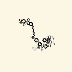 COc1cc(N2CCC(NCCCCCCCc3ccc4c(c3)CN(C3CCC(=O)NC3=O)C4=O)CC2)ccc1Nc1ncc(Cl)c(Nc2ccccc2P(=O)(OC)OC)n1